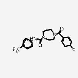 O=C(Nc1ccc(C(F)(F)F)cc1)N1CCCN(C(=O)C2=CCC(F)C=C2)CC1